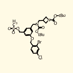 CC(C)(C)OC(=O)N(Cc1cc(COS(C)(=O)=O)cc(OCc2ccc(Cl)cc2Br)c1)CC1CN(C(=O)OC(C)(C)C)C1